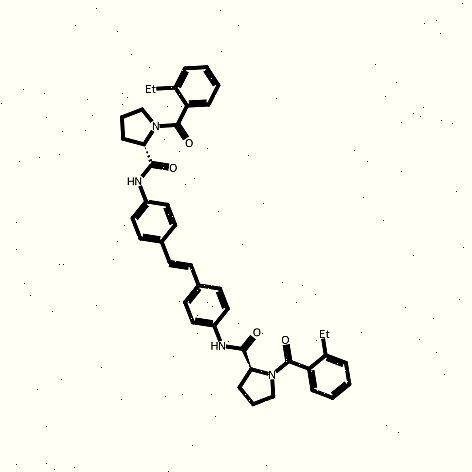 CCc1ccccc1C(=O)N1CCC[C@H]1C(=O)Nc1ccc(/C=C/c2ccc(NC(=O)[C@@H]3CCCN3C(=O)c3ccccc3CC)cc2)cc1